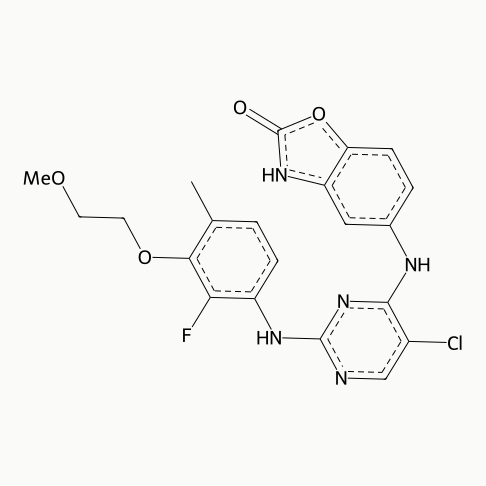 COCCOc1c(C)ccc(Nc2ncc(Cl)c(Nc3ccc4oc(=O)[nH]c4c3)n2)c1F